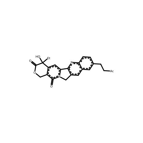 CCC1(O)C(=O)OCc2c1cc1n(c2=O)Cc2cc3cc(CCC(C)=O)ccc3nc2-1